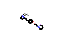 CN1CCCC1CCc1ccc(OCCCN2CCCCC2I)cc1